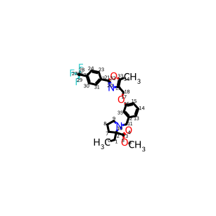 CCC1(C(=O)OC)CCCN1Cc1cccc(OCc2nc(-c3ccc(C(F)(F)F)cc3)oc2C)c1